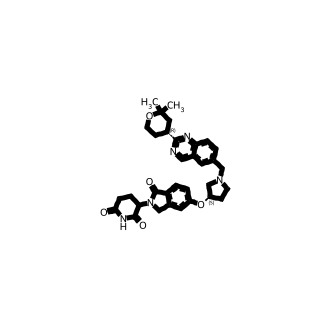 CC1(C)C[C@H](c2ncc3cc(CN4CC[C@H](Oc5ccc6c(c5)CN(C5CCC(=O)NC5=O)C6=O)C4)ccc3n2)CCO1